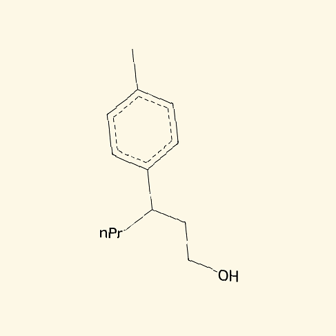 CCCC(CCO)c1ccc(C)cc1